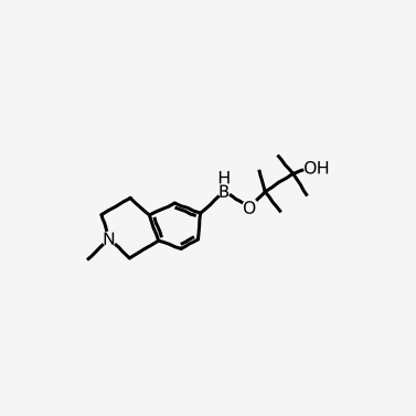 CN1CCc2cc(BOC(C)(C)C(C)(C)O)ccc2C1